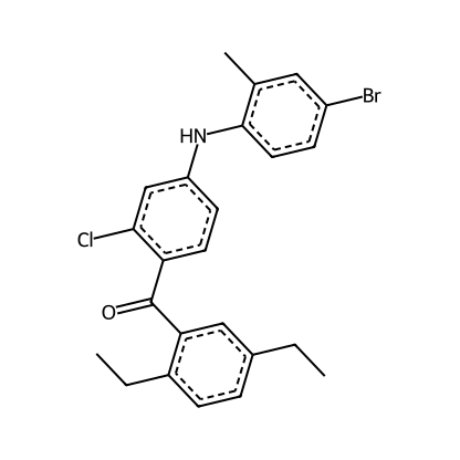 CCc1ccc(CC)c(C(=O)c2ccc(Nc3ccc(Br)cc3C)cc2Cl)c1